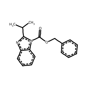 CC(C)c1nc2ccccc2n1C(=O)OCc1ccccc1